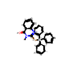 Cn1c([S][Sn]([c]2ccccc2)([c]2ccccc2)[c]2ccccc2)nc2ccccc2c1=O